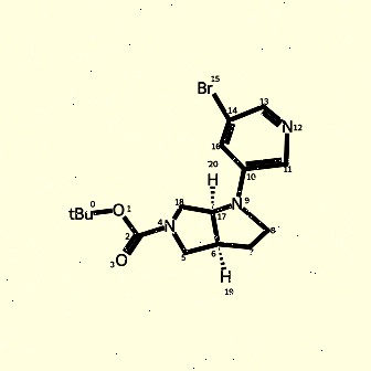 CC(C)(C)OC(=O)N1C[C@@H]2CCN(c3cncc(Br)c3)[C@@H]2C1